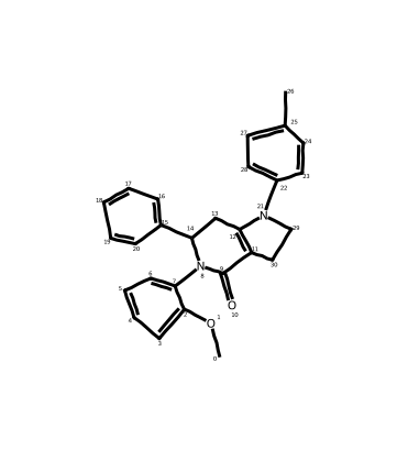 COc1ccccc1N1C(=O)C2=C(CC1c1ccccc1)N(c1ccc(C)cc1)CC2